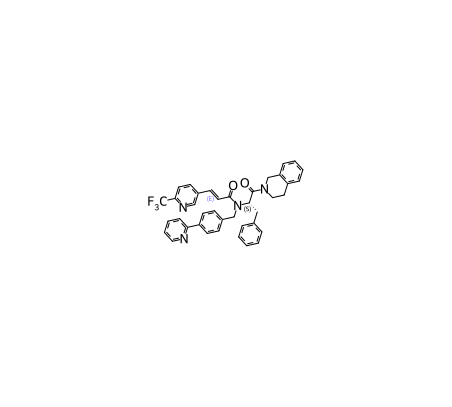 O=C([C@H](Cc1ccccc1)N(Cc1ccc(-c2ccccn2)cc1)C(=O)/C=C/c1ccc(C(F)(F)F)nc1)N1CCc2ccccc2C1